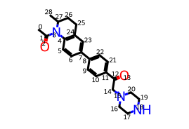 CC(=O)N1c2ccc(-c3ccc(C(=O)CN4CCNCC4)cc3)cc2CCC1C